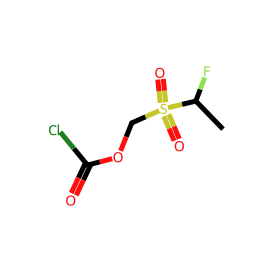 CC(F)S(=O)(=O)COC(=O)Cl